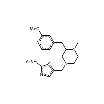 COc1cc(CC2CN(Cc3cnc(NC(C)=O)s3)CCN2C)ccn1